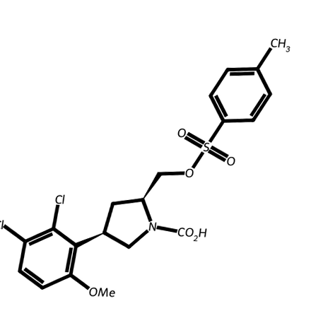 COc1ccc(Cl)c(Cl)c1[C@H]1C[C@@H](COS(=O)(=O)c2ccc(C)cc2)N(C(=O)O)C1